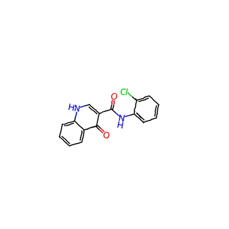 O=C(Nc1ccccc1Cl)c1c[nH]c2ccccc2c1=O